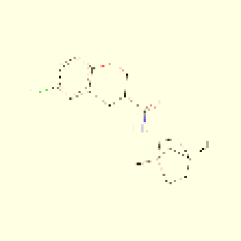 O=C(N[C@@H]1C[C@@H]2CC[C@H]1C2)C1COc2ccc(Cl)cc2C1